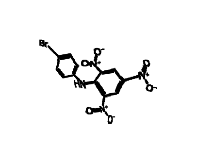 O=[N+]([O-])c1cc([N+](=O)[O-])c(Nc2ccc(Br)cc2)c([N+](=O)[O-])c1